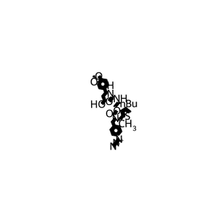 CCCC[C@@H](COC(=O)N(Cc1ccc(N=[N+]=[N-])cc1)C(C)c1cccs1)NC(=O)NC(CCO)c1ccc2c(c1)OCO2